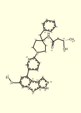 CCOc1cc(-c2ccc(N3CCC(Cc4ccccc4)(NC(=O)C[C@H](C)O)CC3)nc2)c2c3cn[nH]c3nn2c1